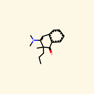 CCCC1(C)C(=O)c2ccccc2C=C1N(C)C